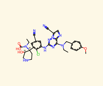 CCN(Cc1ccc(OC)cc1)c1nc(Nc2cc(C#N)cc([C@]3(N(CC)C(=O)O)CCNC[C@H]3O)c2Cl)nn2c(C#N)cnc12